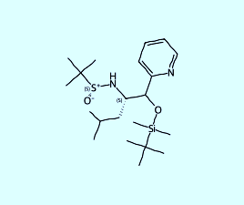 CC(C)C[C@H](N[S@+]([O-])C(C)(C)C)C(O[Si](C)(C)C(C)(C)C)c1ccccn1